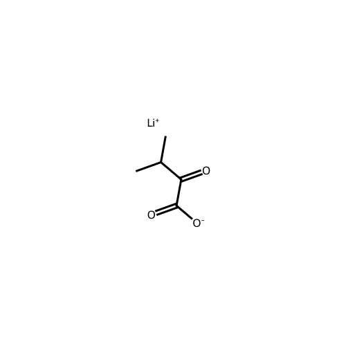 CC(C)C(=O)C(=O)[O-].[Li+]